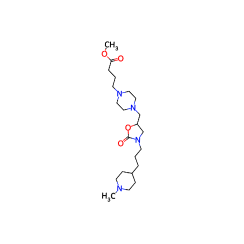 COC(=O)CCCN1CCN(CC2CN(CCCC3CCN(C)CC3)C(=O)O2)CC1